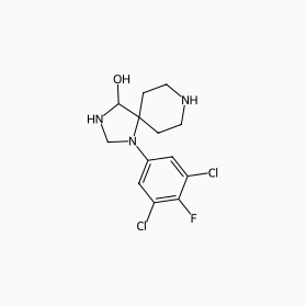 OC1NCN(c2cc(Cl)c(F)c(Cl)c2)C12CCNCC2